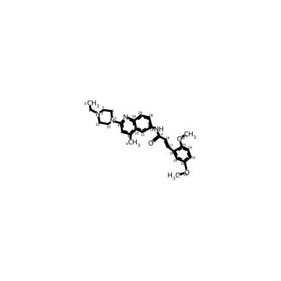 CCN1CCN(c2cc(C)c3cc(NC(=O)C=Cc4cc(OC)ccc4OC)ccc3n2)CC1